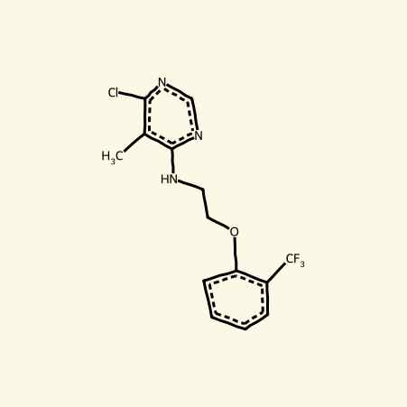 Cc1c(Cl)ncnc1NCCOc1ccccc1C(F)(F)F